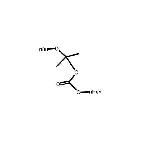 CCCCCCOC(=O)OC(C)(C)OCCCC